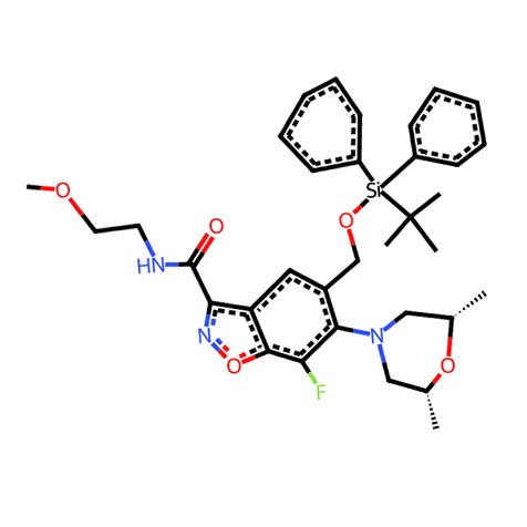 COCCNC(=O)c1noc2c(F)c(N3C[C@@H](C)O[C@@H](C)C3)c(CO[Si](c3ccccc3)(c3ccccc3)C(C)(C)C)cc12